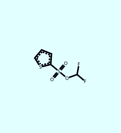 O=S(=O)(OC(F)F)c1cccs1